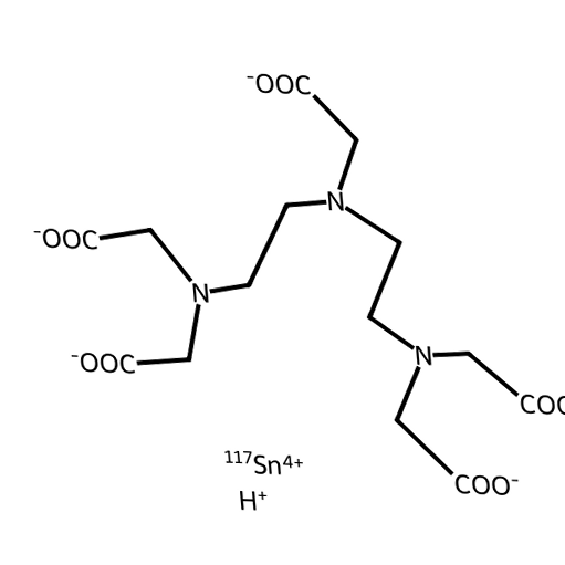 O=C([O-])CN(CCN(CC(=O)[O-])CC(=O)[O-])CCN(CC(=O)[O-])CC(=O)[O-].[117Sn+4].[H+]